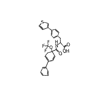 O=C(O)C(Cc1ccc(-c2ccsc2)cc1)NC(=O)C1(OC(F)(F)F)C=CC(c2ccccc2)=CC1